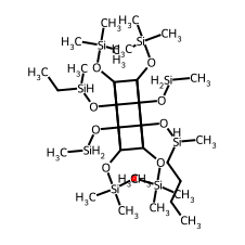 CCCC[SiH](C)OC12C3(O[SiH2]C)C4(O[SiH](C)CC)C1(O[SiH2]C)C1(O[Si](C)(C)C)C4(O[Si](C)(C)C)C3(O[Si](C)(C)C)C21O[Si](C)(C)C